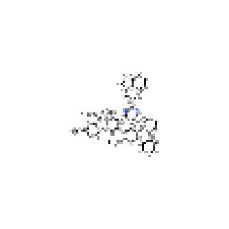 CCCCCCCCC1(CCCCCCCC)c2cc(C)ccc2-c2ccc(-c3cc(-c4cccc(-c5ccccc5-c5cccc(C)c5)c4)nc(C4=CC5C=CC6=CC=CC(=C4)C65)n3)cc21